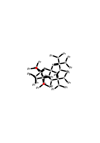 CC(C)N(C(C)C)P(=N[P+](N=P(N(C(C)C)C(C)C)(N(C(C)C)C(C)C)N(C(C)C)C(C)C)(N=P(N(C(C)C)C(C)C)(N(C(C)C)C(C)C)N(C(C)C)C(C)C)N=P(N(C(C)C)C(C)C)(N(C(C)C)C(C)C)N(C(C)C)C(C)C)(N(C(C)C)C(C)C)N(C(C)C)C(C)C